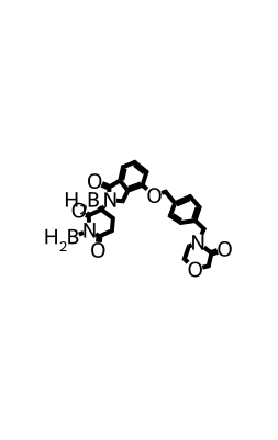 BN1C(=O)CCC(B)(N2Cc3c(OCc4ccc(CN5CCOCC5=O)cc4)cccc3C2=O)C1=O